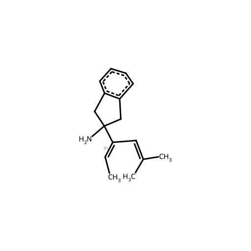 C/C=C(\C=C(C)C)C1(N)Cc2ccccc2C1